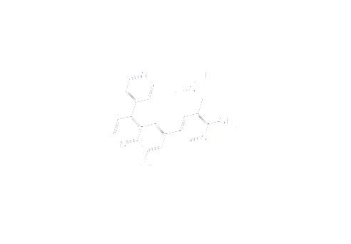 Cc1cc(-c2cnc(N)c(CN(C)C)c2)cc2c(-c3ccncc3)ccnc12